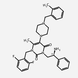 Cc1ccccc1CN1CCN(c2c(C)n(Cc3c(F)cccc3F)c(=O)n(C[C@@H](N)c3ccccc3)c2=O)CC1